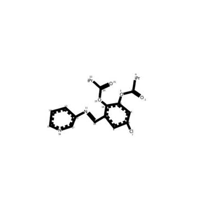 CC(C)C(=O)Oc1cc(Cl)cc(C=Nc2cccnc2)c1OC(=O)C(C)C